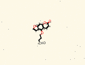 O=CCCCOc1c2ccoc2cc2oc(=O)ccc12